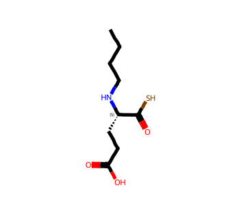 CCCCN[C@@H](CCC(=O)O)C(=O)S